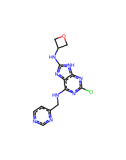 Clc1nc(NCc2ccncn2)c2nc(NC3COC3)[nH]c2n1